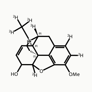 [2H]c1c([2H])c(OC)c2c3c1C[C@]1([2H])[C@@H]4C=CC(O)C([2H])(O2)[C@]34CCN1C([2H])([2H])[2H]